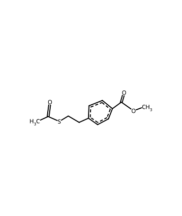 COC(=O)c1ccc(CCSC(C)=O)cc1